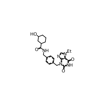 CCn1cnc2c1c(=O)[nH]c(=O)n2Cc1ccc(CNC(=O)C2CCCC(O)C2)cc1